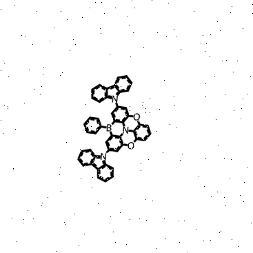 c1ccc(B2c3cc(-n4c5ccccc5c5ccccc54)cc4c3N3c5c(cccc5Oc5cc(-n6c7ccccc7c7ccccc76)cc2c53)O4)cc1